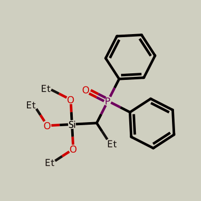 CCO[Si](OCC)(OCC)C(CC)P(=O)(c1ccccc1)c1ccccc1